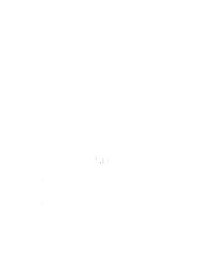 Cc1sccc1-c1ccc(NCCS(C)(=O)=O)cc1